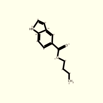 CCCCOC(=O)c1ccc2[nH]ccc2c1